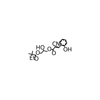 CCC(C)(C)C(=O)OCC(O)COC(=O)/C(C#N)=C/c1ccccc1O